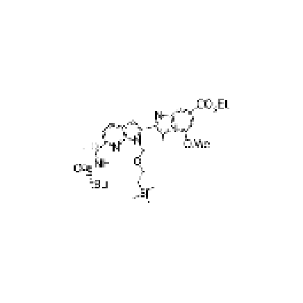 CCOC(=O)c1cc(OC)n2c(C)c(-c3cc4ccc([C@@H](C)N[S@@+]([O-])C(C)(C)C)nc4n3COCC[Si](C)(C)C)nc2c1